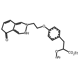 CCCOC(Cc1ccc(OCCN2C=C3C=CCC(=O)C3=CN2)cc1)C(=O)OCC